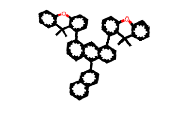 CC1(C)c2ccccc2Oc2cccc(-c3cccc4c(-c5ccc6ccccc6c5)c5cccc(-c6cccc7c6C(C)(C)c6ccccc6O7)c5cc34)c21